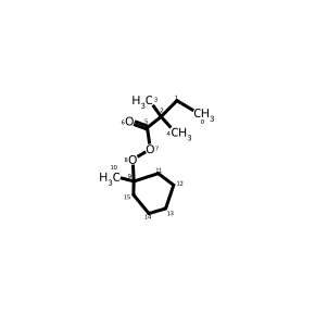 CCC(C)(C)C(=O)OOC1(C)CCCCC1